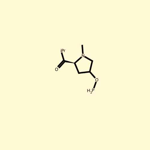 CC(C)C(=O)[C@@H]1CC(OP)CN1C